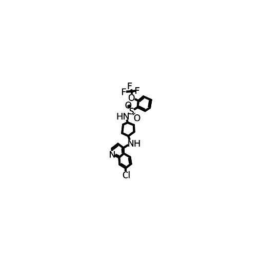 O=S(=O)(NC1CCC(Nc2ccnc3cc(Cl)ccc23)CC1)c1ccccc1OC(F)(F)F